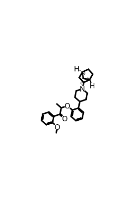 COc1ccccc1C(=O)C(C)Oc1ccccc1C1CCN([C@H]2C[C@H]3CC[C@H]2C3)CC1